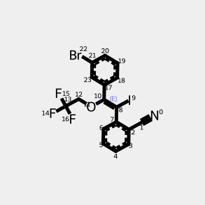 N#Cc1ccccc1/C(I)=C(\OCC(F)(F)F)c1cccc(Br)c1